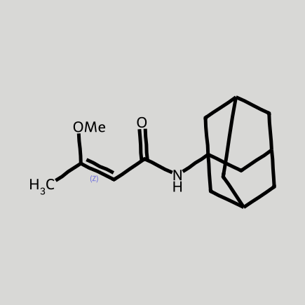 CO/C(C)=C\C(=O)NC12CC3CC(CC(C3)C1)C2